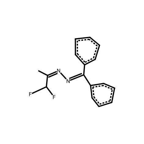 CC(=NN=C(c1ccccc1)c1ccccc1)C(F)F